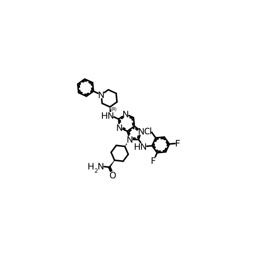 NC(=O)[C@H]1CC[C@H](n2c(Nc3c(F)cc(F)cc3Cl)nc3cnc(N[C@@H]4CCCN(c5ccccc5)C4)nc32)CC1